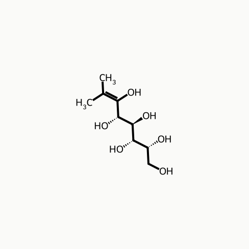 CC(C)=C(O)[C@@H](O)[C@@H](O)[C@@H](O)[C@H](O)CO